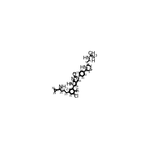 CC(=N)NCC[C@@H]1CSC[C@@H](c2ccc(-n3cc4cc(-c5cc(CCC[C@@H](N)C6CC6)cc(Cl)c5F)[nH]c4nc3=O)cc2)N1